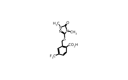 Cn1nc(SCc2cc(C(F)(F)F)ccc2C(=O)O)n(C)c1=O